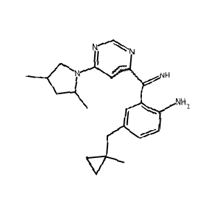 CC1CC(C)N(c2cc(C(=N)c3cc(CC4(C)CC4)ccc3N)ncn2)C1